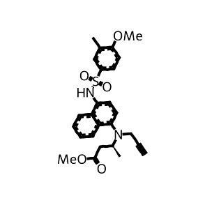 C#CCN(c1ccc(NS(=O)(=O)c2ccc(OC)c(C)c2)c2ccccc12)[C@@H](C)CC(=O)OC